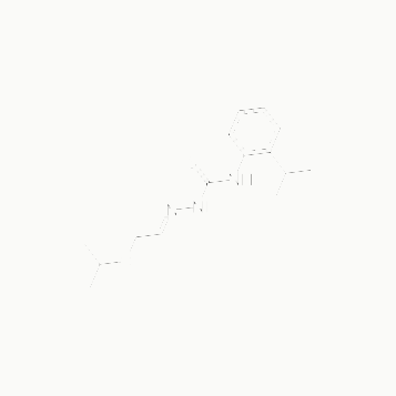 CC(C)OC/C=N/NC(=S)Nc1ccccc1C(C)C